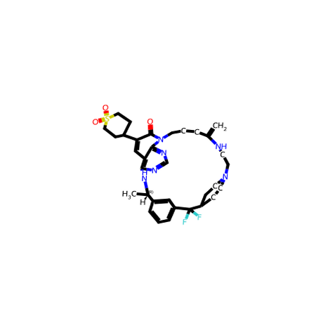 C=C1CCCn2c(=O)c(C3CCS(=O)(=O)CC3)cc3c(ncnc32)N[C@H](C)c2cccc(c2)C(F)(F)C2CCN(CCN1)CC2